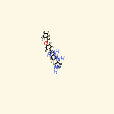 c1ccc(COc2ccc(-c3nc4ccc(Nc5cn[nH]c5)nc4[nH]3)cc2)cc1